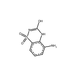 Nc1cccc2c1NC(O)=NS2(=O)=O